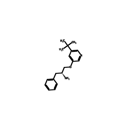 CC(C)(C)c1cncc(OC[C@H](N)Cc2ccccc2)c1